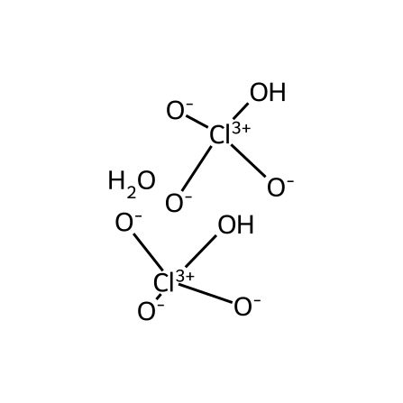 O.[O-][Cl+3]([O-])([O-])O.[O-][Cl+3]([O-])([O-])O